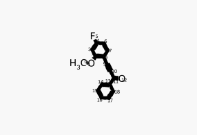 COc1cc(F)ccc1C#CC(=O)c1ccccc1